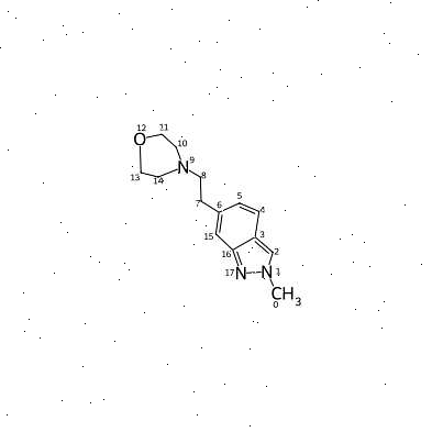 Cn1cc2ccc(CCN3CCOCC3)cc2n1